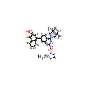 CN1CCC[C@H]1COc1nc(N2C[C@H]3CC[C@@H](C2)N3)c2ccc(-c3cc(O)c(F)c4ccccc34)cc2n1